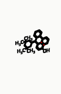 CC1(C)CC(=C(c2ccc(O)cc2)c2ccccc2-c2ccccc2)CC(C)(C)C1